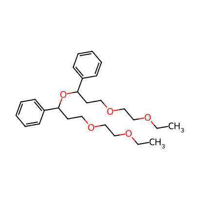 CCOCCOCCC(OC(CCOCCOCC)c1ccccc1)c1ccccc1